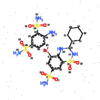 NS(=O)(=O)c1cc(Br)c2c(c1)S(=O)(=O)NC(C1CCCCC1)N2.Nc1ccc(S(N)(=O)=O)cc1S(N)(=O)=O